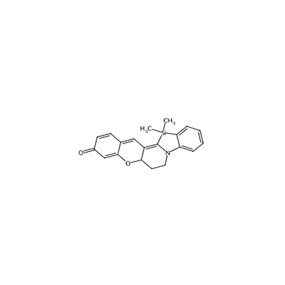 C[Si]1(C)C2=C3C=C4C=CC(=O)C=C4OC3CCN2c2ccccc21